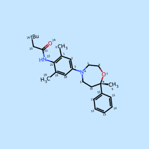 Cc1cc(N2CCO[C@](C)(c3ccccc3)CC2)cc(C)c1NC(=O)CC(C)(C)C